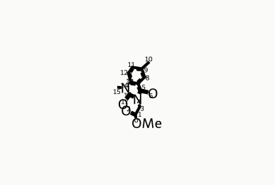 COC(=O)Cn1c(=O)c2cc(C)ccc2n(C)c1=O